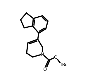 CC(C)(C)OC(=O)N1CCC=C(c2cccc3c2CCC3)C1